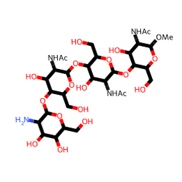 COC1OC(CO)C(OC2OC(CO)C(OC3OC(CO)C(OC4OC(CO)C(O)C(O)C4N)C(O)C3NC(C)=O)C(O)C2NC(C)=O)C(O)C1NC(C)=O